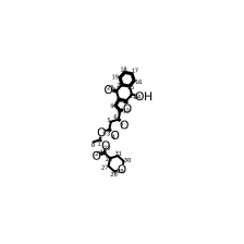 CC(OC(=O)CC(=O)c1cc2c(o1)C(O)c1ccccc1C2=O)OC(=O)C1CCOCC1